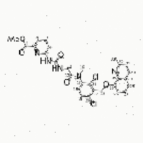 COC(=O)c1cccc(NC(=O)NCC(=O)N(C)c2ccc(Cl)c(COc3cccc4ccc(C)nc34)c2Cl)n1